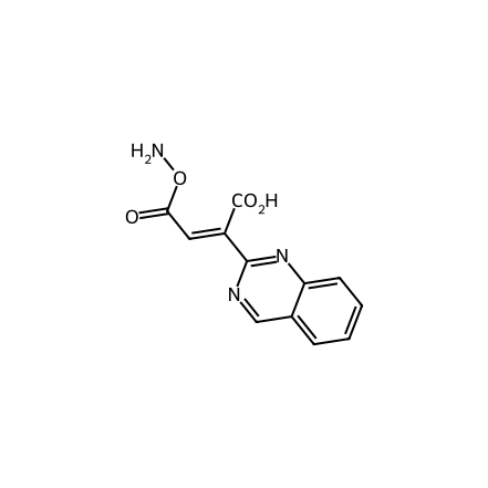 NOC(=O)/C=C(\C(=O)O)c1ncc2ccccc2n1